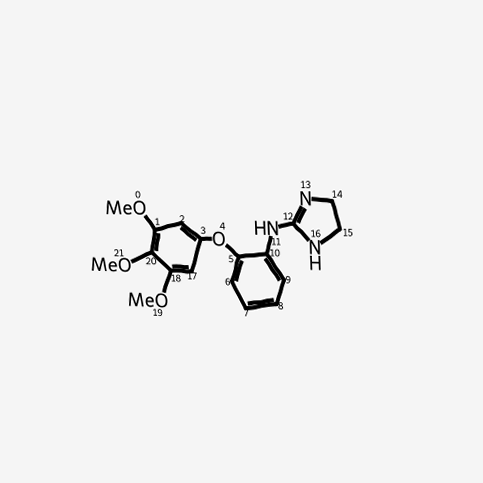 COc1cc(Oc2ccccc2NC2=NCCN2)cc(OC)c1OC